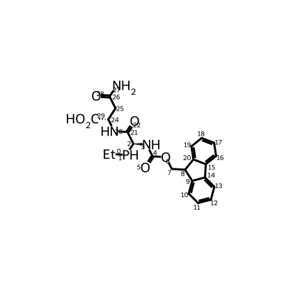 CCP[C@H](NC(=O)OCC1c2ccccc2-c2ccccc21)C(=O)N[C@@H](CC(N)=O)C(=O)O